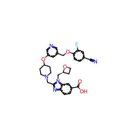 N#Cc1ccc(OCc2cncc(OC3CCN(Cc4nc5ccc(C(=O)O)cc5n4C[C@@H]4CCO4)CC3)c2)c(F)c1